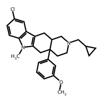 COc1cccc(C23CCN(CC4CC4)CC2Cc2c(n(C)c4ccc(Cl)cc24)C3)c1